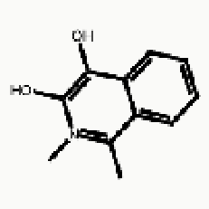 Cc1c2ccccc2c(O)c(O)[n+]1C